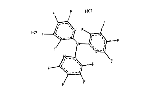 Cl.Cl.Fc1n[c]([Sb]([c]2nc(F)c(F)c(F)c2F)[c]2nc(F)c(F)c(F)c2F)c(F)c(F)c1F